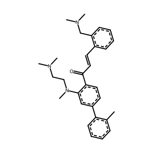 Cc1ccccc1-c1ccc(C(=O)/C=C/c2ccccc2CN(C)C)c(N(C)CCN(C)C)c1